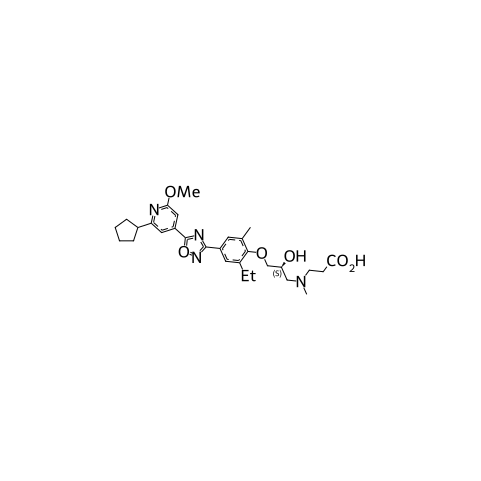 CCc1cc(-c2noc(-c3cc(OC)nc(C4CCCC4)c3)n2)cc(C)c1OC[C@@H](O)CN(C)CCC(=O)O